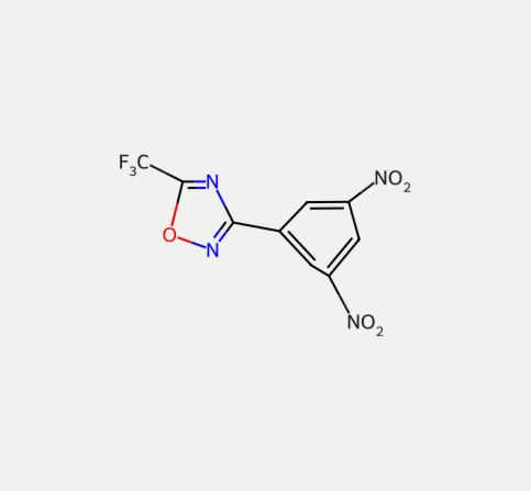 O=[N+]([O-])c1cc(-c2noc(C(F)(F)F)n2)cc([N+](=O)[O-])c1